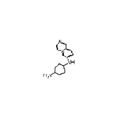 NC1CCC(Nc2ccc3cnccc3c2)CC1